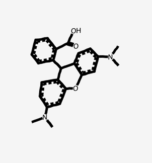 CN(C)c1ccc2c(c1)Oc1cc(N(C)C)ccc1C2c1ccccc1C(=O)O